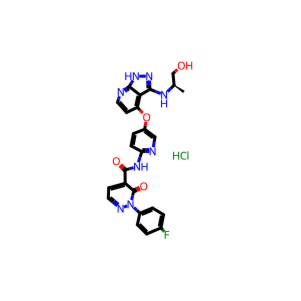 C[C@H](CO)Nc1n[nH]c2nccc(Oc3ccc(NC(=O)c4ccnn(-c5ccc(F)cc5)c4=O)nc3)c12.Cl